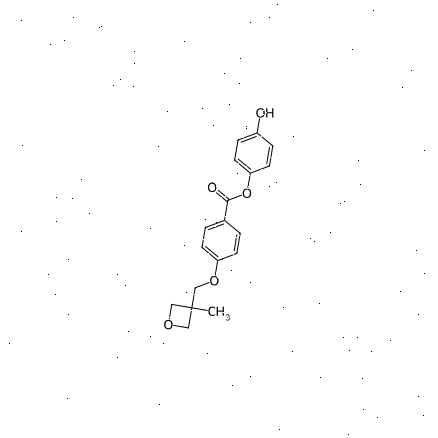 CC1(COc2ccc(C(=O)Oc3ccc(O)cc3)cc2)COC1